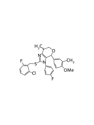 C=C1COC(c2ccc(OC)c(C)c2)c2c1nc(SCc1c(F)cccc1Cl)n2-c1ccc(F)cc1